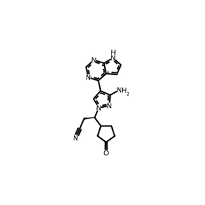 N#CC[C@H](C1CCC(=O)C1)n1cc(-c2ncnc3[nH]ccc23)c(N)n1